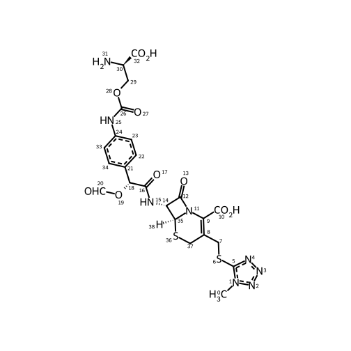 Cn1nnnc1SCC1=C(C(=O)O)N2C(=O)[C@@H](NC(=O)[C@H](OC=O)c3ccc(NC(=O)OC[C@@H](N)C(=O)O)cc3)[C@@H]2SC1